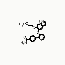 COCCOc1cc2[nH]ccc2cc1Oc1cccnc1-c1ccc(C(N)=O)cc1